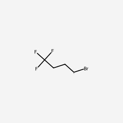 FC(F)(F)CC[CH]Br